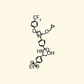 CCS(=O)(=O)c1ccc(C(CO)NC(=O)c2ccc(N3C[C@H](Oc4ccc(C(F)(F)F)cc4)C[C@H]3COCC3CC3)cc2)cc1